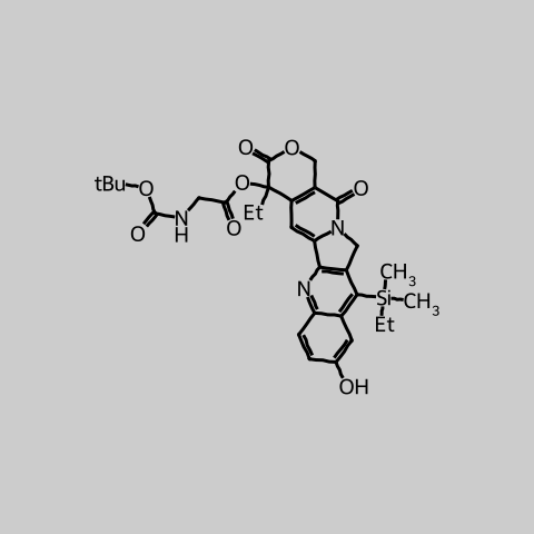 CCC1(OC(=O)CNC(=O)OC(C)(C)C)C(=O)OCc2c1cc1n(c2=O)Cc2c-1nc1ccc(O)cc1c2[Si](C)(C)CC